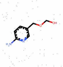 Nc1ccc(COCO)cn1